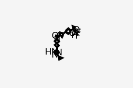 O=C(N1CC(c2ccc(C3(S(=O)(=O)C(F)(F)F)CC3)cc2)C1)N1CC2(CC(c3nc(C4CC4)n[nH]3)C2)C1